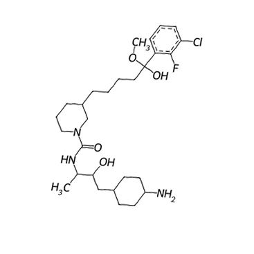 COC(O)(CCCCC1CCCN(C(=O)NC(C)C(O)CC2CCC(N)CC2)C1)c1cccc(Cl)c1F